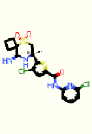 C[C@@]1(c2sc(C(=O)Nc3cccc(Cl)n3)cc2Cl)CS(=O)(=O)C2(CCC2)C(=N)N1